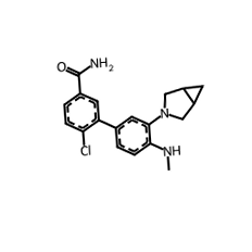 CNc1ccc(-c2cc(C(N)=O)ccc2Cl)cc1N1CC2CC2C1